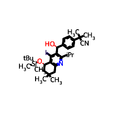 CC(C)c1nc2c(c(I)c1[C@H](O)c1ccc(C(C)(C)C#N)cc1)[C@@H](O[Si](C)(C)C(C)(C)C)CC(C)(C)C2